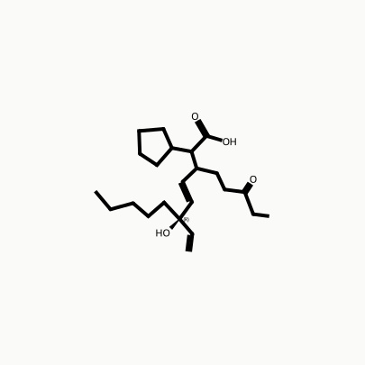 C=C[C@@](O)(C=CC(CCC(=O)CC)C(C(=O)O)C1CCCC1)CCCCC